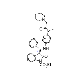 CCOC(=O)N1C(=O)/C(=C(\Nc2ccc(N(C)C(=O)CN3CCCCC3)cc2)c2ccccc2)c2ccccc21